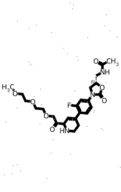 COCCOCCOCC(=O)C1C=C(c2ccc(N3C[C@H](CNC(C)=O)OC3=O)cc2F)CCN1